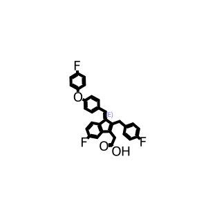 O=C(O)CC1=C(Cc2ccc(F)cc2)/C(=C/c2ccc(Oc3ccc(F)cc3)cc2)c2ccc(F)cc21